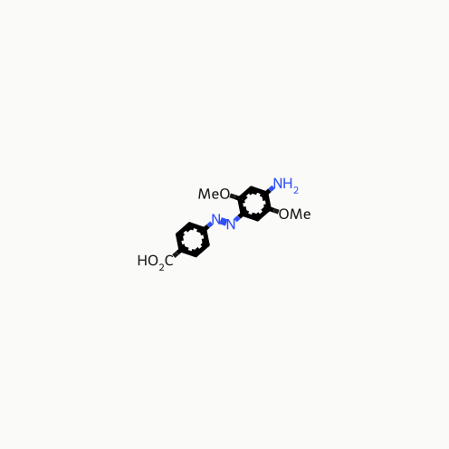 COc1cc(N=Nc2ccc(C(=O)O)cc2)c(OC)cc1N